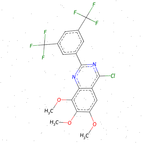 COc1cc2c(Cl)nc(-c3cc(C(F)(F)F)cc(C(F)(F)F)c3)nc2c(OC)c1OC